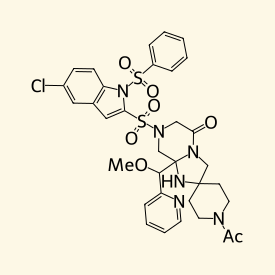 COC(c1ccccn1)C12CN(S(=O)(=O)c3cc4cc(Cl)ccc4n3S(=O)(=O)c3ccccc3)CC(=O)N1CC1(CCN(C(C)=O)CC1)N2